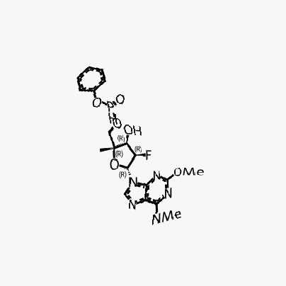 CNc1nc(OC)nc2c1ncn2[C@@H]1O[C@](C)(CO[PH](=O)Oc2ccccc2)[C@@H](O)[C@H]1F